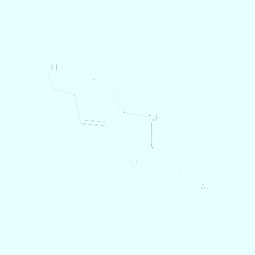 CC(=O)CCC(=O)Nc1ccc(CO)cc1